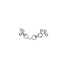 COC(=O)c1ccc(N2CCC(CC3CCN(C(=O)OC(C)(C)C)CC3)CC2)cc1Cl